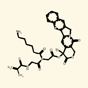 C=C(C)C(=O)NCC(=O)N(CC(=O)OC1(CC)C(=O)OCc2c1cc1n(c2=O)Cc2cc3ccccc3nc2-1)C(=O)CCCCCN